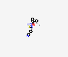 C[C@]1(c2ccccc2)c2ccccc2CC1C(=O)Nc1nc(Cc2ccc(-c3ccncc3)cc2)cs1